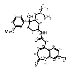 COc1cccc(C2(O)CCC(NC(=O)CC3=CCC(=O)Nc4cc(Cl)ccc43)CC2CN(C)C)c1